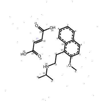 COc1ccc2ccccc2c1CCNC(C)C.O=C(O)/C=C/C(=O)O